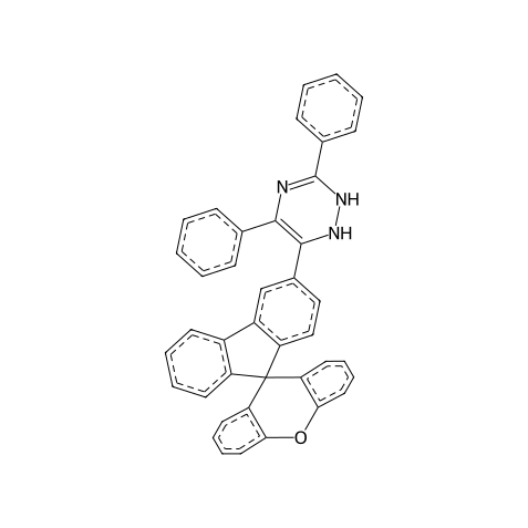 c1ccc(C2=NC(c3ccccc3)=C(c3ccc4c(c3)-c3ccccc3C43c4ccccc4Oc4ccccc43)NN2)cc1